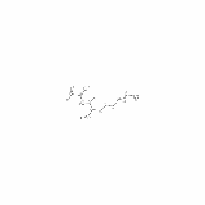 C=C(C)C(=O)OC(C)C(CCC)CCCCC=CCC